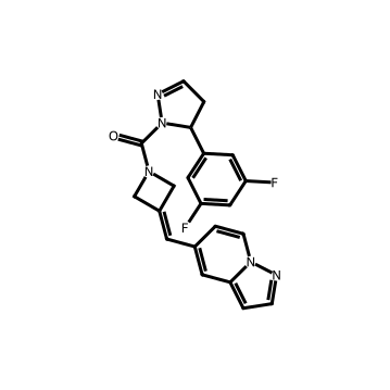 O=C(N1CC(=Cc2ccn3nccc3c2)C1)N1N=CCC1c1cc(F)cc(F)c1